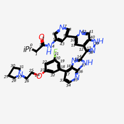 CC(C)CC(=O)Nc1cncc(-c2cc3c(-c4nc5c(-c6cc(F)cc(OCCN7CCCC7)c6)ccnc5[nH]4)n[nH]c3cn2)c1